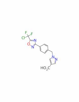 O=C(O)c1cnn(Cc2ccc(-c3noc(C(F)(F)Cl)n3)cc2)c1